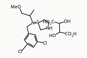 COCC(C)N(Cc1cc(Cl)cc(Cl)c1)[C@H]1CCNC1.O=C(O)C(O)C(O)C(=O)O